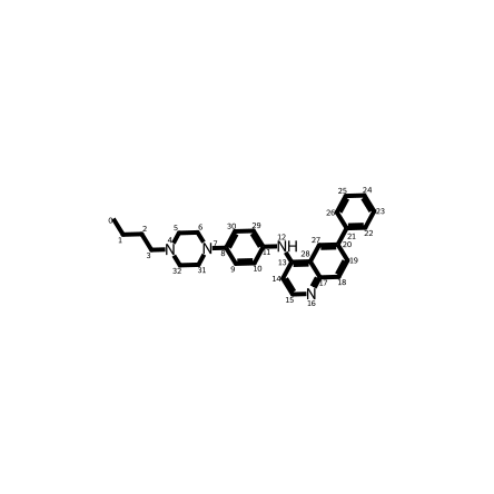 CCCCN1CCN(c2ccc(Nc3ccnc4ccc(-c5ccccc5)cc34)cc2)CC1